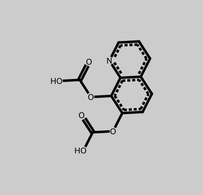 O=C(O)Oc1ccc2cccnc2c1OC(=O)O